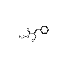 COC(=O)/C(=C/c1ccccc1)CCl